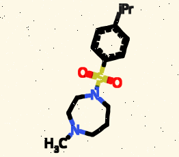 CC(C)c1ccc(S(=O)(=O)N2CCCN(C)CC2)cc1